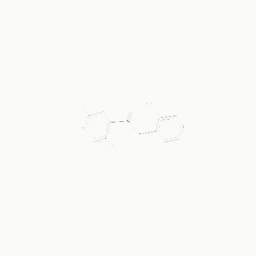 O=C(Cc1ccccc1O)c1cc(O)ccc1O